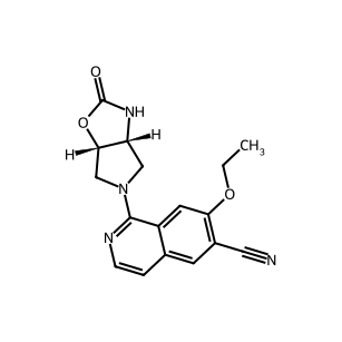 CCOc1cc2c(N3C[C@@H]4OC(=O)N[C@@H]4C3)nccc2cc1C#N